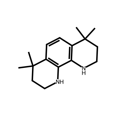 CC1(C)CCNc2c1ccc1c2NCCC1(C)C